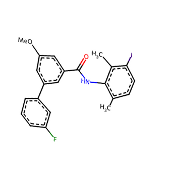 COc1cc(C(=O)Nc2c(C)ccc(I)c2C)cc(-c2cccc(F)c2)c1